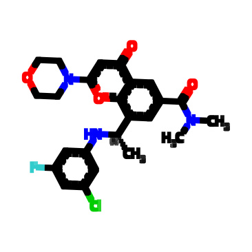 C[C@H](Nc1cc(F)cc(Cl)c1)c1cc(C(=O)N(C)C)cc2c(=O)cc(N3CCOCC3)oc12